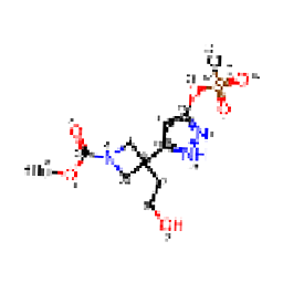 CC(C)(C)OC(=O)N1CC(CCO)(c2cc(OS(=O)(=O)C(F)(F)F)n[nH]2)C1